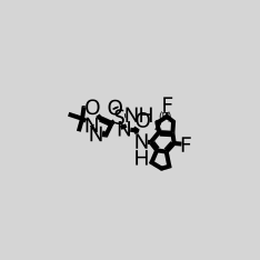 CC1(C)COc2c(S(N)(=O)=NC(=O)Nc3c4c(c(F)c5c3C[C@@H](F)C5)CCC4)cnn21